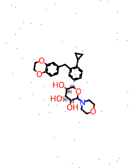 O[C@@H]1[C@@H](O)[C@H](c2ccc(C3CC3)c(Cc3ccc4c(c3)OCCO4)c2)OC(N2CCOCC2)[C@H]1O